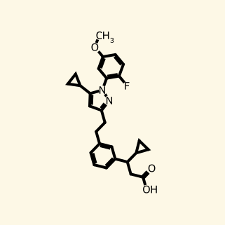 COc1ccc(F)c(-n2nc(CCc3cccc(C(CC(=O)O)C4CC4)c3)cc2C2CC2)c1